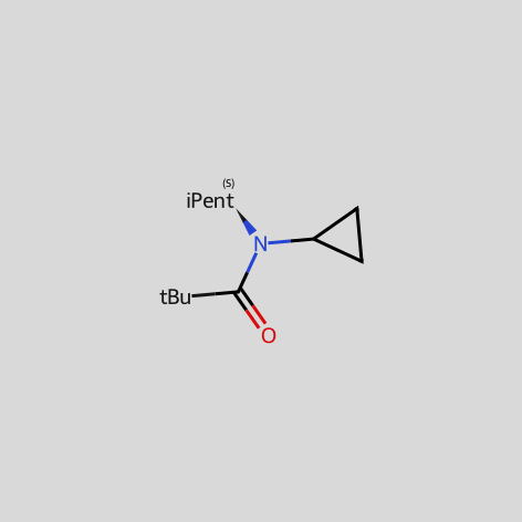 CCC[C@H](C)N(C(=O)C(C)(C)C)C1CC1